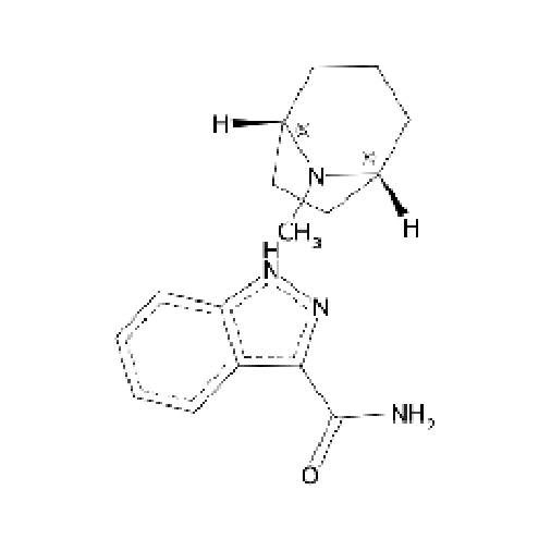 CN1[C@@H]2CCC[C@H]1CC2.NC(=O)c1n[nH]c2ccccc12